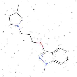 CC1CCN(CCCOc2nn(C)c3ccccc23)C1